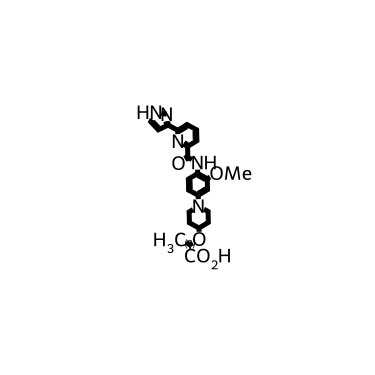 COc1cc(N2CCC(O[C@@H](C)C(=O)O)CC2)ccc1NC(=O)c1cccc(-c2cc[nH]n2)n1